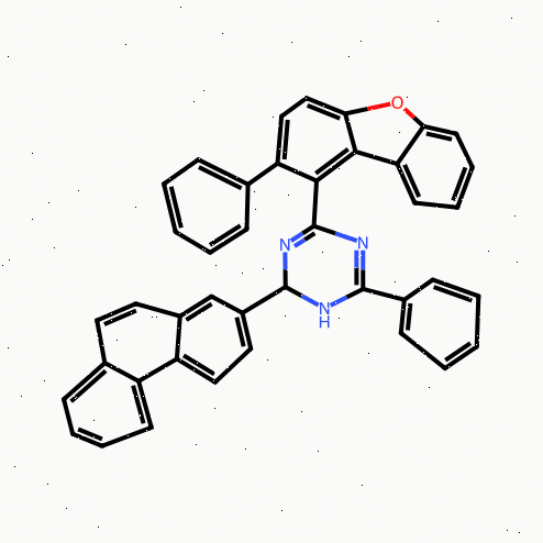 c1ccc(C2=NC(c3c(-c4ccccc4)ccc4oc5ccccc5c34)=NC(c3ccc4c(ccc5ccccc54)c3)N2)cc1